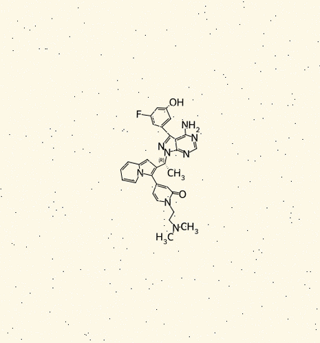 C[C@H](c1cc2ccccn2c1-c1ccn(CCN(C)C)c(=O)c1)n1nc(-c2cc(O)cc(F)c2)c2c(N)ncnc21